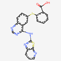 O=C(O)c1ccccc1Sc1ccc2ncnc(Nc3nc4cccnc4s3)c2c1